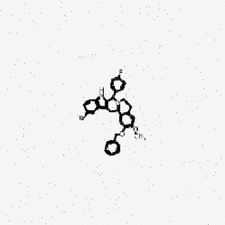 COc1cc2c(cc1OCc1ccccc1)C1Cc3c([nH]c4ccc(Br)cc34)C(c3ccc(F)cc3)N1CC2